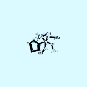 CCC(C)[O][Zr]([O]C(C)CC)([O]C(C)CC)([C]1=CC=CC1)[Ge]([CH3])([CH3])[F]